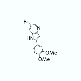 COc1ccc(-c2cc3ncc(Br)cc3[nH]2)cc1OC